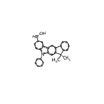 CC1(C)c2ccccc2-c2cc3c4cc(BO)ccc4n(-c4ccccc4)c3cc21